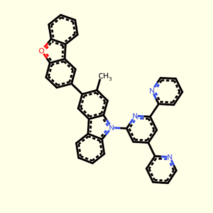 Cc1cc2c(cc1-c1ccc3oc4ccccc4c3c1)c1ccccc1n2-c1cc(-c2ccccn2)cc(-c2ccccn2)n1